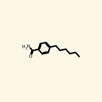 CCCCCCc1ccc(C(N)=O)cc1